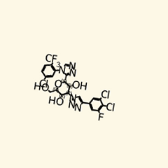 OC[C@H]1O[C@@H](c2nncn2-c2cc(Cl)ccc2C(F)(F)F)[C@H](O)[C@@H](n2cc(-c3cc(F)c(Cl)c(Cl)c3)nn2)[C@H]1O